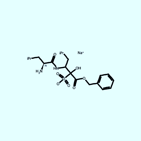 CC(C)CC(NC(=O)[C@@H](N)CC(C)C)C(O)(C(=O)OCc1ccccc1)S(=O)(=O)[O-].[Na+]